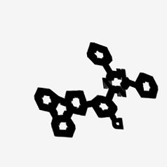 Clc1cc(-c2ccc3c4ccccc4c4ccccc4c3c2)cc(-c2nc(-c3ccccc3)nc(-c3ccccc3)n2)c1